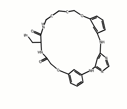 CC(C)CC1NC(=O)COc2cccc(c2)Nc2cc(ncn2)Nc2cccc(c2)OCCCCCNC1=O